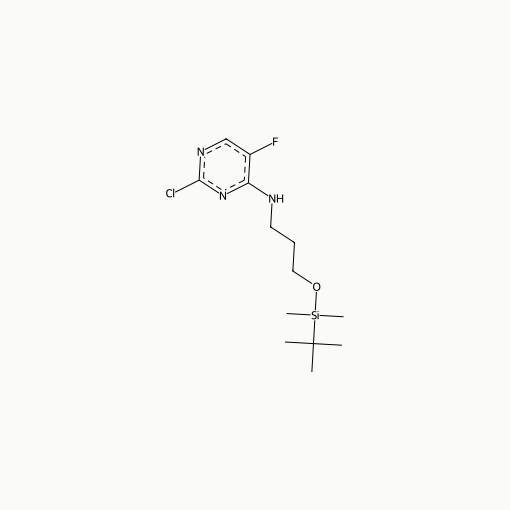 CC(C)(C)[Si](C)(C)OCCCNc1nc(Cl)ncc1F